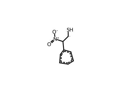 O=[N+]([O-])C([CH]S)c1ccccc1